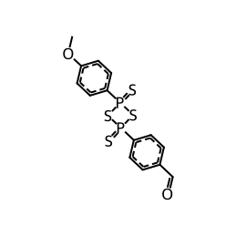 COc1ccc(P2(=S)SP(=S)(c3ccc(C=O)cc3)S2)cc1